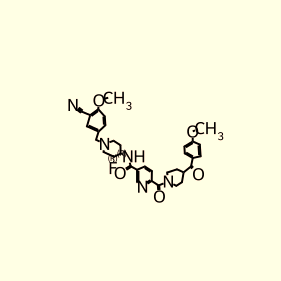 COc1ccc(C(=O)C2CCN(C(=O)c3ccc(C(=O)N[C@@H]4CCN(Cc5ccc(OC)c(C#N)c5)C[C@H]4F)cn3)CC2)cc1